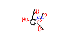 C(OCC1CO1)C1CO1.Nc1cccc(O)c1CC1CO1